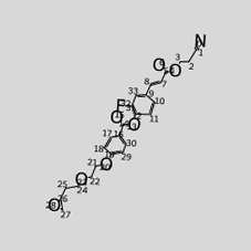 N#CCCOC(=O)/C=C/c1ccc(OC(=O)c2ccc(OCCOCCC3CO3)cc2)c(F)c1